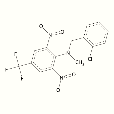 CN(Cc1ccccc1Cl)c1c([N+](=O)[O-])cc(C(F)(F)F)cc1[N+](=O)[O-]